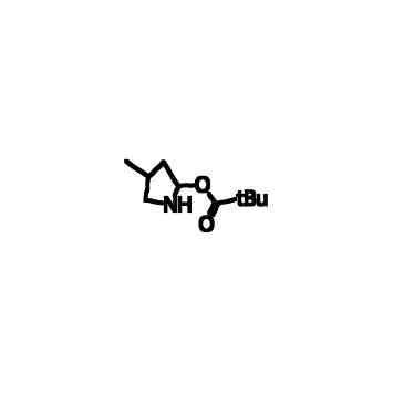 CC1CNC(OC(=O)C(C)(C)C)C1